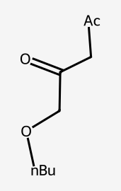 CCCCOCC(=O)CC(C)=O